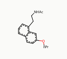 CCCOc1ccc2cccc(CCNC(C)=O)c2c1